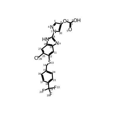 O=C(O)Oc1cnn(-c2nc3cc(SCc4ccc(C(F)(F)F)cc4)c(Cl)cc3[nH]2)c1